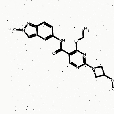 CCOc1nc(N2CC(NC)C2)ncc1C(=O)Nc1ccc2nn(C)cc2c1